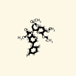 CCOc1nc(C(CS(C)(=O)=O)n2c(=O)n(C)c3cc(-c4cc(F)ccc4F)cnc32)ccc1OC